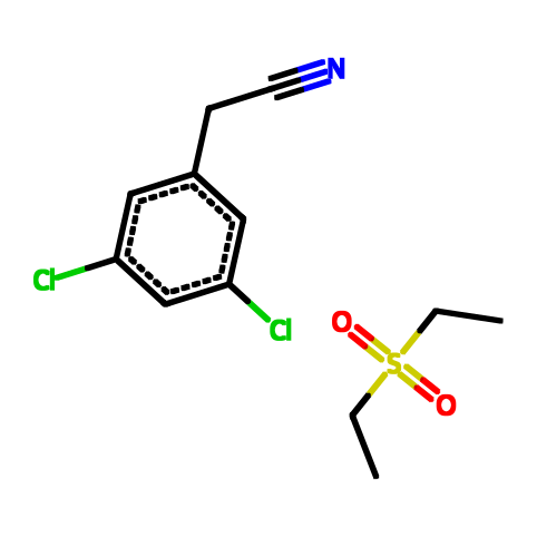 CCS(=O)(=O)CC.N#CCc1cc(Cl)cc(Cl)c1